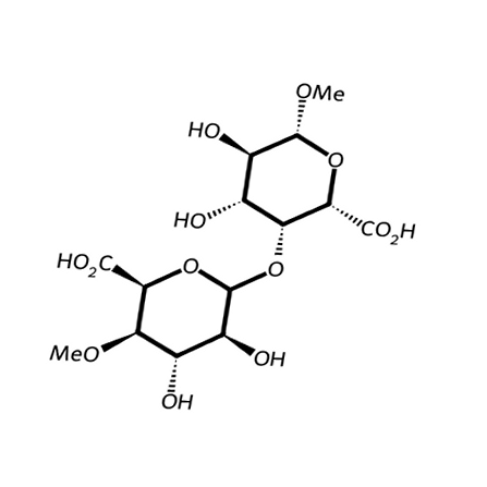 CO[C@@H]1O[C@H](C(=O)O)[C@H](OC2O[C@H](C(=O)O)[C@H](OC)[C@@H](O)[C@@H]2O)[C@H](O)[C@H]1O